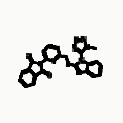 Cn1nnnc1-n1c(SCc2cccc(N3C(=O)c4ccccc4C3=O)n2)nc2ccccc21